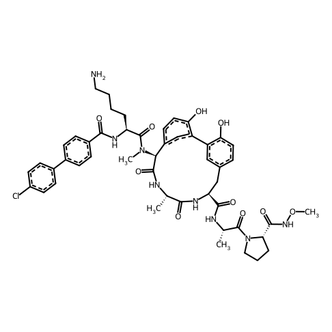 CONC(=O)[C@@H]1CCCN1C(=O)[C@H](C)NC(=O)[C@@H]1Cc2ccc(O)c(c2)-c2cc(ccc2O)[C@H](N(C)C(=O)[C@H](CCCCN)NC(=O)c2ccc(-c3ccc(Cl)cc3)cc2)C(=O)N[C@@H](C)C(=O)N1